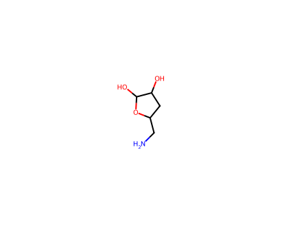 NCC1CC(O)C(O)O1